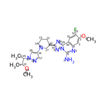 COc1cc2nc(N)n3nc([C@@H]4CCCN(c5cnn(C(C)C(C)OC)c5)C4)nc3c2cc1F